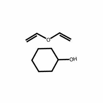 C=COC=C.OC1CCCCC1